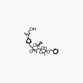 CCN(CCO)c1ccc(C[C@@H](O)C(=O)N(C)[C@@H](CC2CC2)C(=O)O[C@H](C)C(=O)OCc2ccccc2)cc1